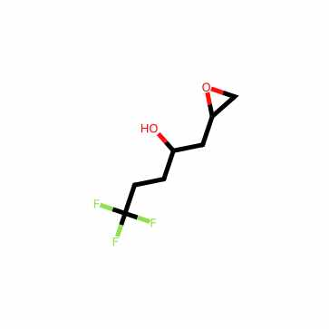 OC(CCC(F)(F)F)CC1CO1